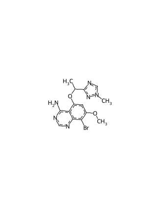 COc1cc(OC(C)c2ncn(C)n2)c2c(N)ncnc2c1Br